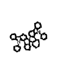 C1=CCC2=C(C=C1)C1(c3ccccc3-c3c1ccc1c4ccccc4n(-c4ccccc4)c31)c1ccc3c4ccccc4n(-c4ccccc4)c3c12